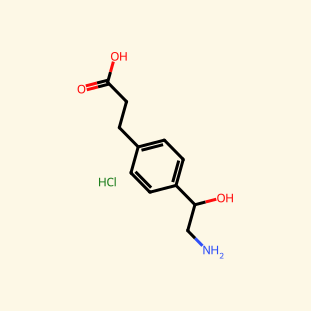 Cl.NCC(O)c1ccc(CCC(=O)O)cc1